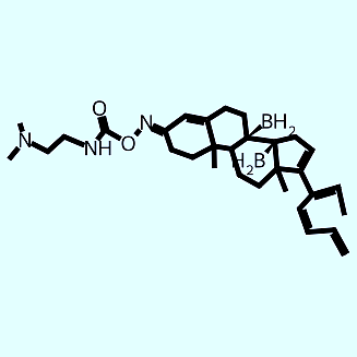 B[C@]12CCC3=C/C(=N/OC(=O)NCCN(C)C)CCC3(C)C1CCC1(C)C(C(/C=C\C=C)=C/C)=CC[C@]12B